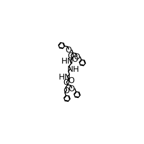 O=C(NCCNCCNC(=O)OC(COCc1ccccc1)COCc1ccccc1)OC(COCc1ccccc1)COCc1ccccc1